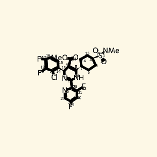 CNS(=O)(=O)[C@H]1CC[C@H](C2=C(C(=O)OC)[C@H](c3ccc(F)c(F)c3Cl)N=C(c3ncc(F)cc3F)N2)CC1